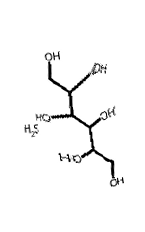 OCC(O)C(O)C(O)C(O)CO.S